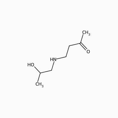 CC(=O)CCNCC(C)O